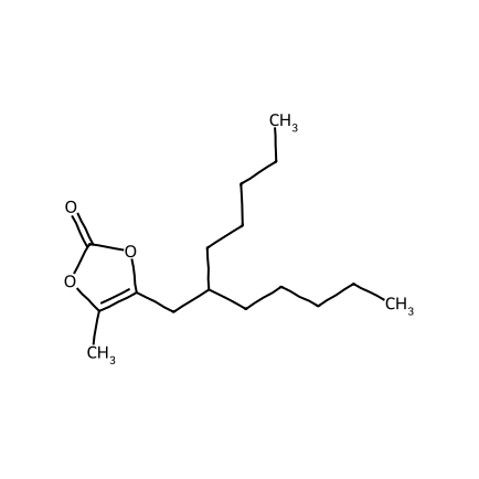 CCCCCC(CCCCC)Cc1oc(=O)oc1C